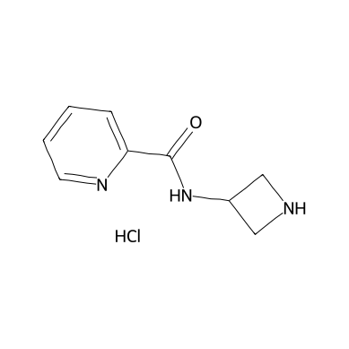 Cl.O=C(NC1CNC1)c1ccccn1